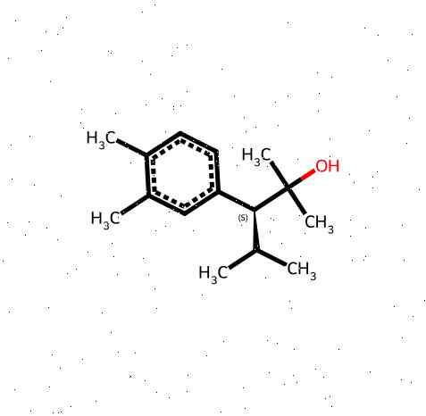 Cc1ccc([C@H](C(C)C)C(C)(C)O)cc1C